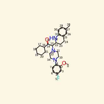 COc1cc(F)ccc1N1CCN(C(C(=O)C2CCCCC2)C2CCc3cc(C)ccc3N2)CC1